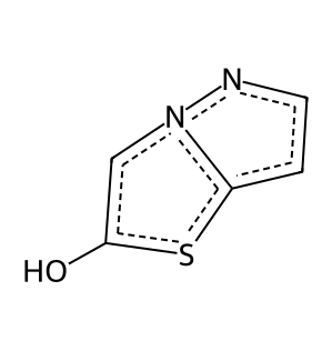 Oc1cn2nccc2s1